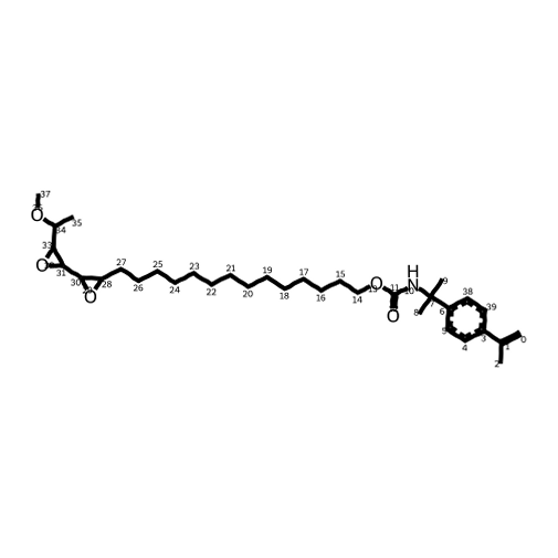 C=C(C)c1ccc(C(C)(C)NC(=O)OCCCCCCCCCCCCCCC2OC2C2OC2C(C)OC)cc1